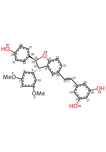 COc1cc(OC)cc([C@H]2c3cc(/C=C/c4cc(O)cc(O)c4)ccc3O[C@@H]2c2ccc(O)cc2)c1